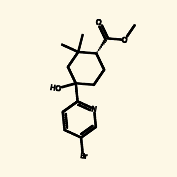 COC(=O)[C@@H]1CCC(O)(c2ccc(Br)cn2)CC1(C)C